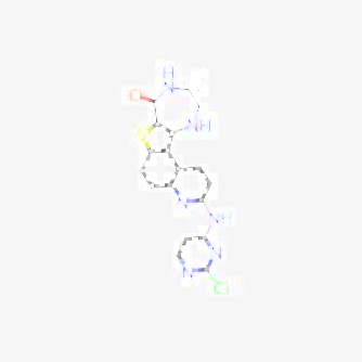 C[C@@H]1CNc2c(sc3ccc4nc(Nc5ccnc(Cl)n5)ccc4c23)C(=O)N1